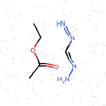 CCOC(C)=O.N=NC=NN